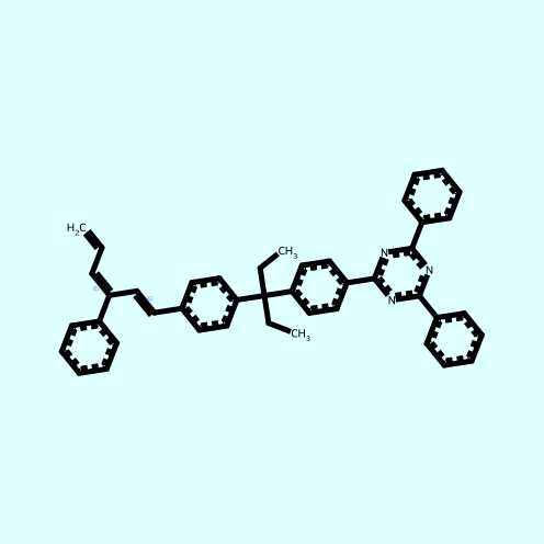 C=C/C=C(\C=C\c1ccc(C(CC)(CC)c2ccc(-c3nc(-c4ccccc4)nc(-c4ccccc4)n3)cc2)cc1)c1ccccc1